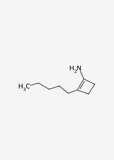 CCCCCC1=C(N)CC1